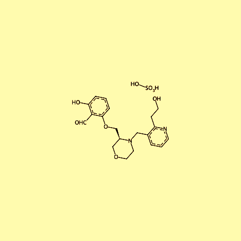 O=Cc1c(O)cccc1OC[C@@H]1COCCN1Cc1cccnc1CCO.O=S(=O)(O)O